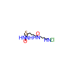 O=C(CCCCC1SCC2NC(=O)NC21)NCCCCCNCl